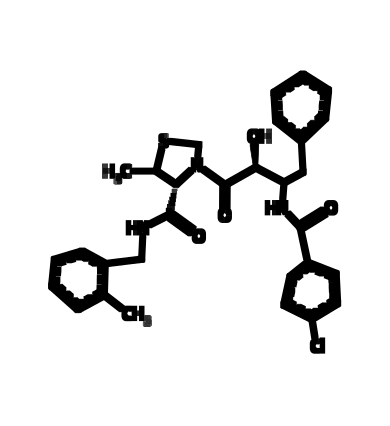 Cc1ccccc1CNC(=O)[C@@H]1C(C)SCN1C(=O)[C@@H](O)C(Cc1ccccc1)NC(=O)c1ccc(Cl)cc1